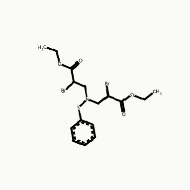 CCOC(=O)C(Br)CN(CC(Br)C(=O)OCC)Sc1ccccc1